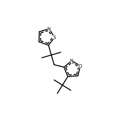 CC(C)(C)c1conc1CC(C)(C)c1ccns1